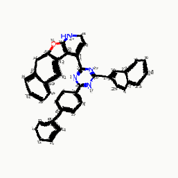 C1=C(c2nc(-c3ccc(-c4ccccc4)cc3)nc(-c3ccc4ccccc4c3)n2)c2c(oc3cc4ccccc4cc23)NC1